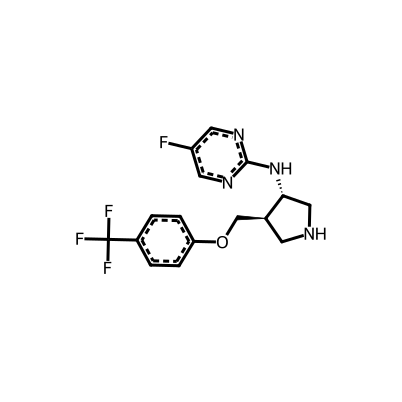 Fc1cnc(N[C@@H]2CNC[C@H]2COc2ccc(C(F)(F)F)cc2)nc1